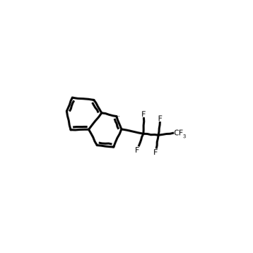 FC(F)(F)C(F)(F)C(F)(F)c1[c]c2ccccc2cc1